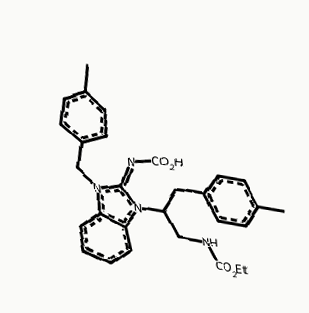 CCOC(=O)NCC(Cc1ccc(C)cc1)n1c(=NC(=O)O)n(Cc2ccc(C)cc2)c2ccccc21